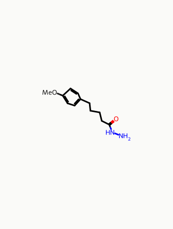 COc1ccc(CCCCC(=O)NN)cc1